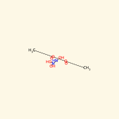 CCCCCCCCCCCCCCCCCC(=O)OCCCCCC(O)C(CCCCOC(=O)CCCCCCCCCCCCCCCCC)CNCCCN(CCO)CCO